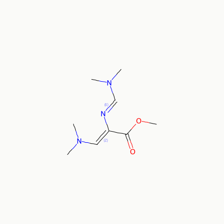 COC(=O)C(=C/N(C)C)/N=C/N(C)C